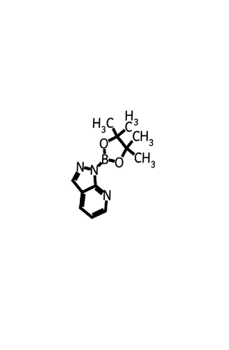 CC1(C)OB(n2ncc3cccnc32)OC1(C)C